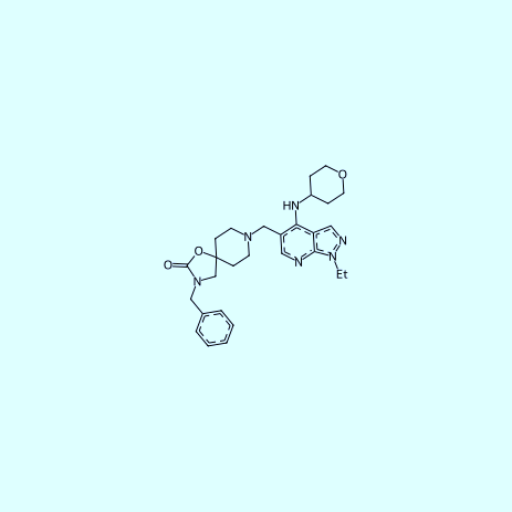 CCn1ncc2c(NC3CCOCC3)c(CN3CCC4(CC3)CN(Cc3ccccc3)C(=O)O4)cnc21